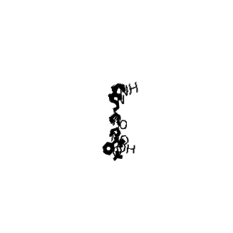 CC(C)Oc1ccccc1C(C(=O)O)N1CC[C@@H](C(=O)N2CC[C@@H](CCc3ccc4c(n3)NCCC4)C2)C1